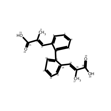 C/C(=C\c1ccccc1-c1ccccc1/C=C(\C)C(=O)O)C(=O)O